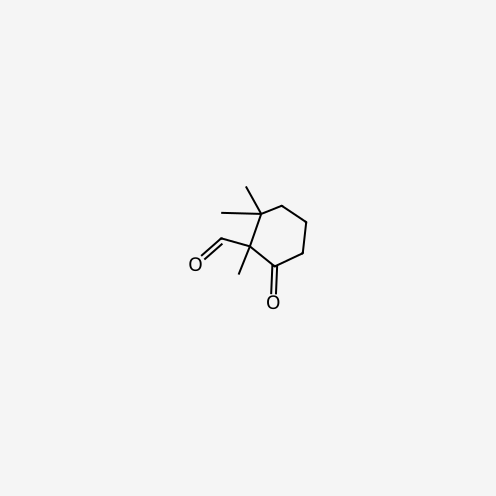 CC1(C)CCCC(=O)C1(C)C=O